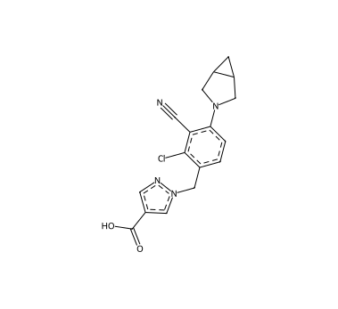 N#Cc1c(N2CC3CC3C2)ccc(Cn2cc(C(=O)O)cn2)c1Cl